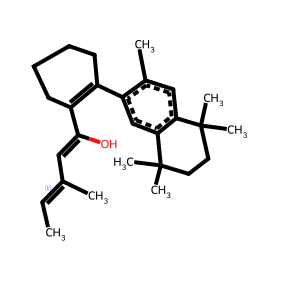 C/C=C(\C)C=C(O)C1=C(c2cc3c(cc2C)C(C)(C)CCC3(C)C)CCCC1